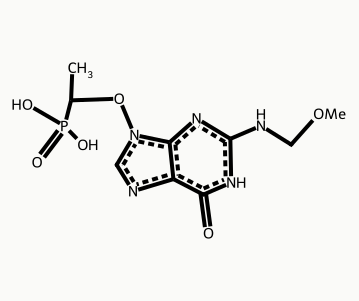 COCNc1nc2c(ncn2OC(C)P(=O)(O)O)c(=O)[nH]1